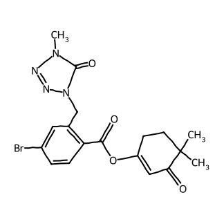 Cn1nnn(Cc2cc(Br)ccc2C(=O)OC2=CC(=O)C(C)(C)CC2)c1=O